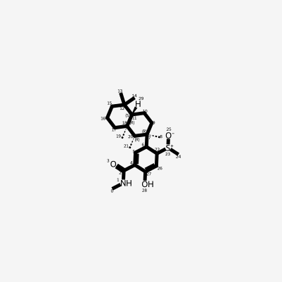 CNC(=O)C1=CC([C@]2(C)CC[C@H]3C(C)(C)CCC[C@]3(C)[C@H]2C)C([S+](C)[O-])C=C1O